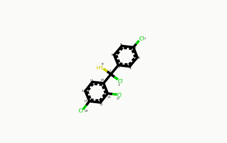 SC(Cl)(c1ccc(Cl)cc1)c1ccc(Cl)cc1Cl